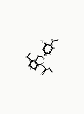 CCC(=O)Oc1cccc(CC)c1COc1ccc(CC)c(F)c1